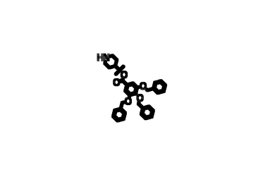 CC(C)(OC(=O)c1cc(OCc2ccccc2)c(OCc2ccccc2)c(OCc2ccccc2)c1)C1CCNCC1